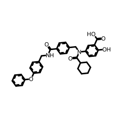 O=C(NCc1ccc(Oc2ccccc2)cc1)c1ccc(CN(C(=O)C2CCCCC2)c2ccc(O)c(C(=O)O)c2)cc1